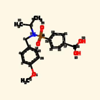 COc1ccc(CN(C(C)C)S(=O)(=O)c2ccc(B(O)O)cc2)cc1